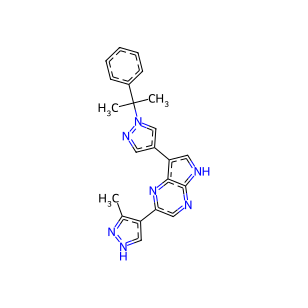 Cc1n[nH]cc1-c1cnc2[nH]cc(-c3cnn(C(C)(C)c4ccccc4)c3)c2n1